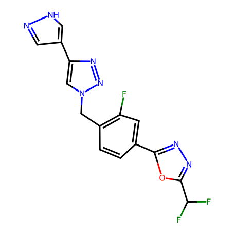 Fc1cc(-c2nnc(C(F)F)o2)ccc1Cn1cc(-c2cn[nH]c2)nn1